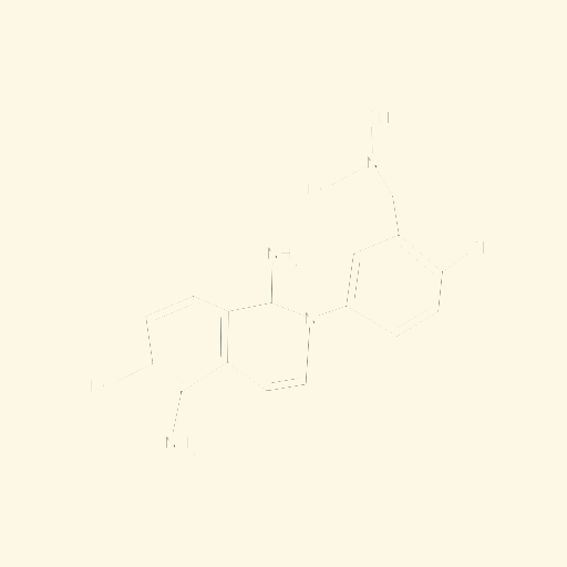 Cc1ccc2c(c1N)C=CN(c1ccc(Cl)c(CN(C)C)c1)C2N